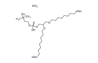 CCCCCCCCCCCCCCCCCCOCC(COP(=O)(O)OCC[N+](C)(C)C)OCCCCCCCCCCCCCCCCCC.[SnH2]